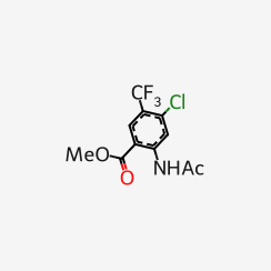 COC(=O)c1cc(C(F)(F)F)c(Cl)cc1NC(C)=O